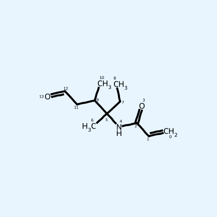 C=CC(=O)NC(C)(CC)C(C)CC=O